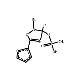 CCN1OC(c2ccco2)=NC1(CC)OP(C)(=O)O